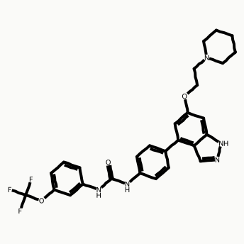 O=C(Nc1ccc(-c2cc(OCCN3CCCCC3)cc3[nH]ncc23)cc1)Nc1cccc(OC(F)(F)F)c1